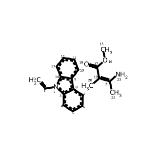 C=Cn1c2ccccc2c2ccccc21.COC(=O)C(C)=C(C)N